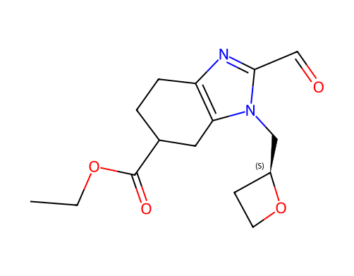 CCOC(=O)C1CCc2nc(C=O)n(C[C@@H]3CCO3)c2C1